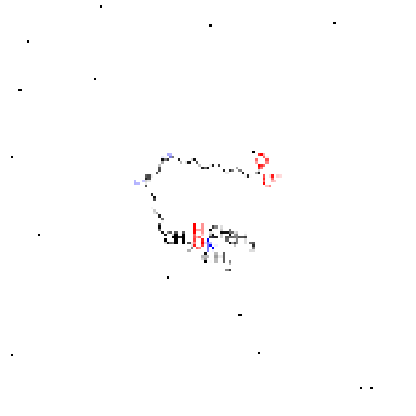 CCCCC/C=C\C/C=C\CCCCCCCC(=O)[O-].CC[N+](C)(C)O